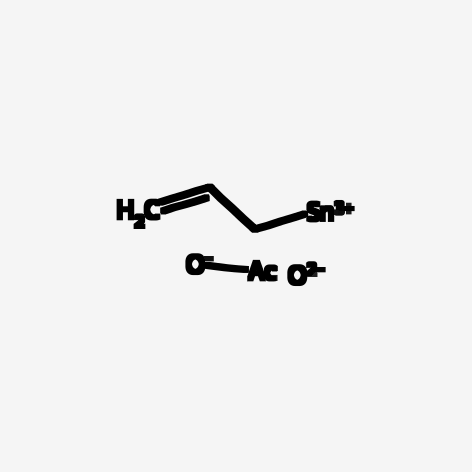 C=C[CH2][Sn+3].CC(=O)[O-].[O-2]